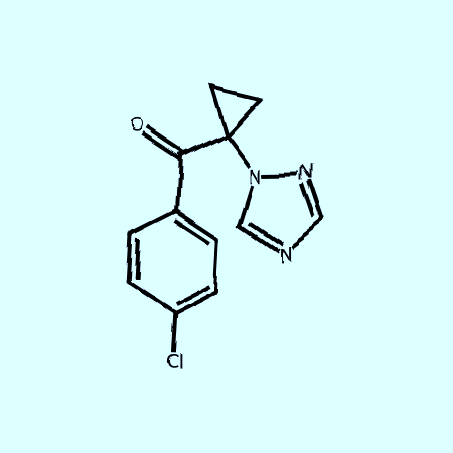 O=C(c1ccc(Cl)cc1)C1(n2cncn2)CC1